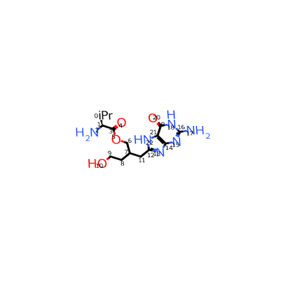 CC(C)[C@H](N)C(=O)OCC(CCO)Cc1nc2nc(N)[nH]c(=O)c2[nH]1